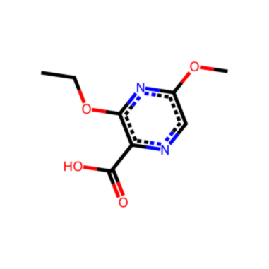 CCOc1nc(OC)cnc1C(=O)O